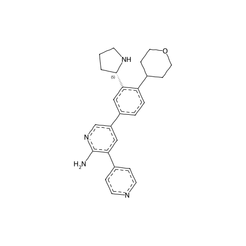 Nc1ncc(-c2ccc(C3CCOCC3)c([C@@H]3CCCN3)c2)cc1-c1ccncc1